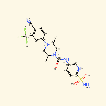 CC1CN(c2ccc(C#N)c(C(F)(F)F)c2)C(C)CN1C(=O)Nc1ccc(S(N)(=O)=O)nc1